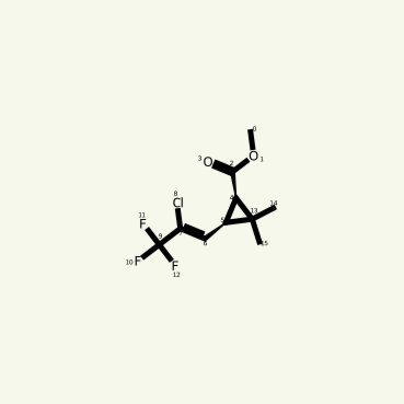 COC(=O)[C@@H]1[C@H](C=C(Cl)C(F)(F)F)C1(C)C